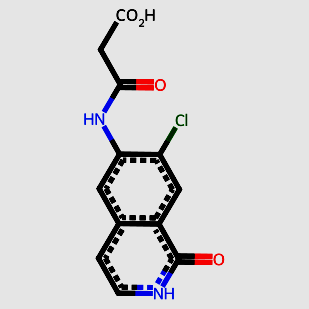 O=C(O)CC(=O)Nc1cc2cc[nH]c(=O)c2cc1Cl